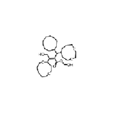 O=C(OCO)C(=C(CO)C1CCCCCCCCC1)C(C1CCCCCCCCC1)C1CCCCCCCCC1